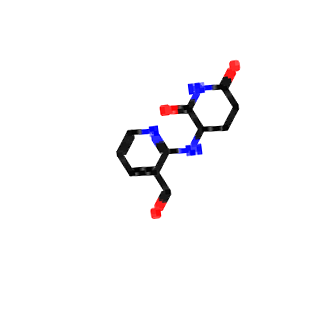 O=Cc1cccnc1NC1CCC(=O)NC1=O